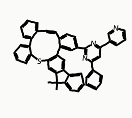 CC1(C)c2ccccc2-c2cc3c(cc21)Sc1ccccc1-c1ccccc1/C=C\c1ccc(-c2nc(-c4ccccc4)cc(-c4cccnc4)n2)cc1-3